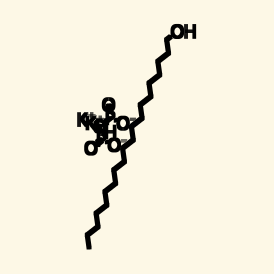 CCCCCCCCCCCCCCCCCCCCO.O=[PH]([O-])O[PH](=O)[O-].[K+].[K+]